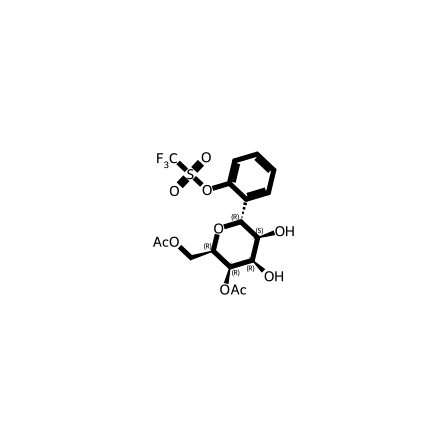 CC(=O)OC[C@H]1O[C@H](c2ccccc2OS(=O)(=O)C(F)(F)F)[C@@H](O)[C@@H](O)[C@H]1OC(C)=O